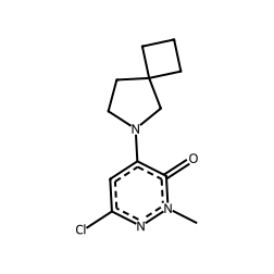 Cn1nc(Cl)cc(N2CCC3(CCC3)C2)c1=O